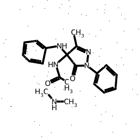 CC(=O)NC1(Nc2ccccc2)C(=O)N(c2ccccc2)N=C1C.CNC